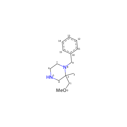 COCC1(C)CNCCN1Cc1ccccc1